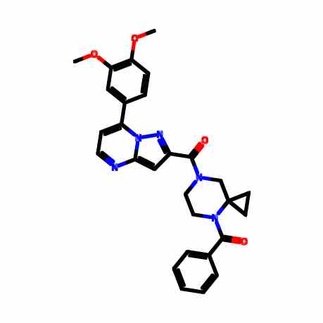 COc1ccc(-c2ccnc3cc(C(=O)N4CCN(C(=O)c5ccccc5)C5(CC5)C4)nn23)cc1OC